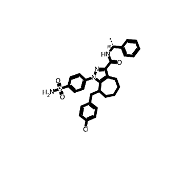 C[C@@H](NC(=O)c1nn(-c2ccc(S(N)(=O)=O)cc2)c2c1CCCCC2Cc1ccc(Cl)cc1)c1ccccc1